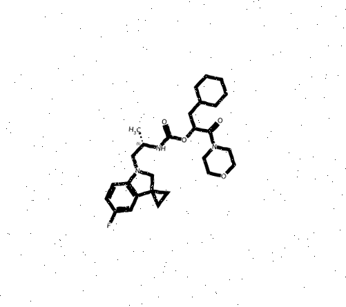 C[C@@H](CN1CC2(CC2)c2cc(F)ccc21)NC(=O)OC(CC1CCCCC1)C(=O)N1CCOCC1